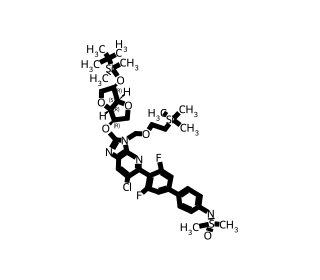 CC(C)(C)[Si](C)(C)O[C@@H]1CO[C@H]2[C@@H]1OC[C@H]2Oc1nc2cc(Cl)c(-c3c(F)cc(-c4ccc(N=S(C)(C)=O)cc4)cc3F)nc2n1COCC[Si](C)(C)C